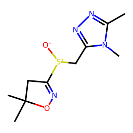 Cc1nnc(C[S+]([O-])C2=NOC(C)(C)C2)n1C